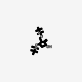 C=C1C(CO[Si](C)(C)C(C)(C)C)C(O[Si](C)(C)C(C)(C)C)C[C@H]1O